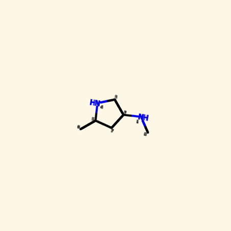 CNC1CNC(C)C1